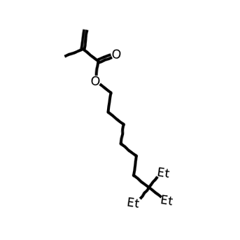 C=C(C)C(=O)OCCCCCCC(CC)(CC)CC